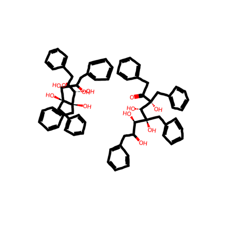 O=C(Cc1ccccc1)[C@@](O)(Cc1ccccc1)[C@@H](O)[C@](O)(Cc1ccccc1)[C@H](O)C(O)Cc1ccccc1.O=C(Cc1ccccc1)[C@H](O)[C@](O)(Cc1ccccc1)[C@](O)(Cc1ccccc1)[C@H](O)C(O)Cc1ccccc1